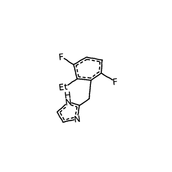 CCc1c(F)ccc(F)c1Cc1ncc[nH]1